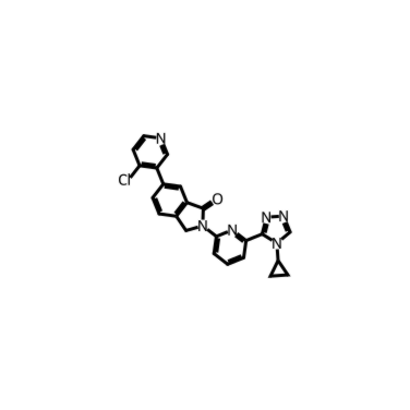 O=C1c2cc(-c3cnccc3Cl)ccc2CN1c1cccc(-c2nncn2C2CC2)n1